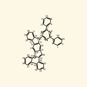 c1ccc(-c2nc(-c3ccccc3)nc(-n3c4ccccc4c4cc5c(cc43)cc3c4ccccc4c4ccccc4n53)n2)cc1